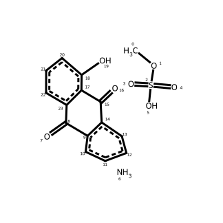 COS(=O)(=O)O.N.O=C1c2ccccc2C(=O)c2c(O)cccc21